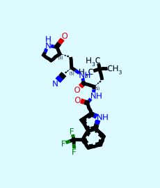 CC(C)(C)C[C@H](NC(=O)c1cc2c(C(F)(F)F)cccc2[nH]1)C(=O)N[C@H](C#N)C[C@@H]1CCNC1=O